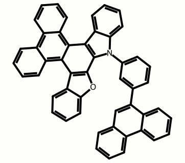 c1cc(-c2cc3ccccc3c3ccccc23)cc(-n2c3ccccc3c3c4c5ccccc5c5ccccc5c4c4c5ccccc5oc4c32)c1